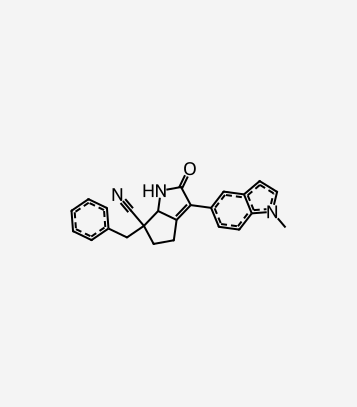 Cn1ccc2cc(C3=C4CCC(C#N)(Cc5ccccc5)C4NC3=O)ccc21